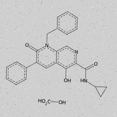 O=C(NC1CC1)c1ncc2c(cc(-c3ccccc3)c(=O)n2Cc2ccccc2)c1O.O=C(O)O